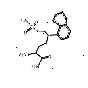 CC(=O)NC(CCC(CNS(N)(=O)=O)c1cccc2cccnc12)C(N)=O